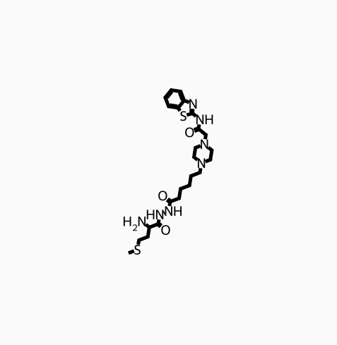 CSCCC(N)C(=O)NNC(=O)CCCCCN1CCN(CC(=O)Nc2nc3ccccc3s2)CC1